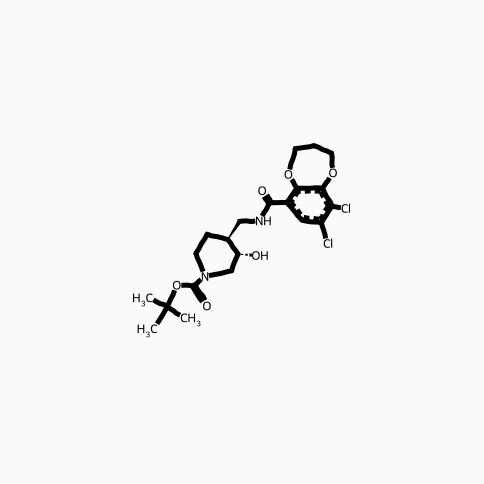 CC(C)(C)OC(=O)N1CC[C@@H](CNC(=O)c2cc(Cl)c(Cl)c3c2OCCCO3)[C@H](O)C1